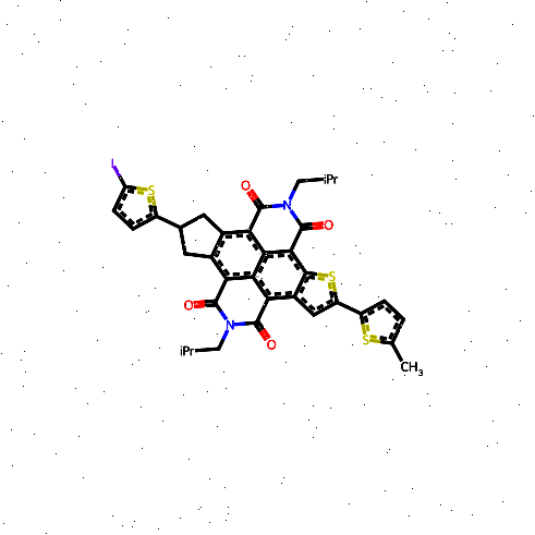 Cc1ccc(-c2cc3c4c5c(c6c(c7c5c(c3s2)C(=O)N(CC(C)C)C7=O)CC(c2ccc(I)s2)C6)C(=O)N(CC(C)C)C4=O)s1